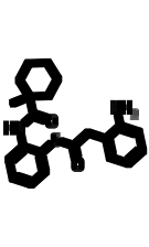 CC1(C(=O)Nc2ccccc2SC(=O)Cc2ccccc2N)CCCCC1